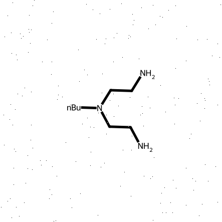 CCCCN(CCN)CCN